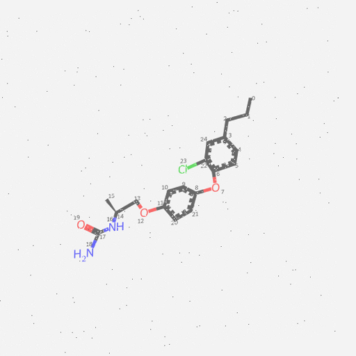 CCCc1ccc(Oc2ccc(OC[C@H](C)NC(N)=O)cc2)c(Cl)c1